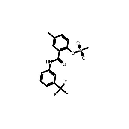 Cc1ccc(OS(C)(=O)=O)c(C(=O)Nc2cccc(C(F)(F)F)c2)c1